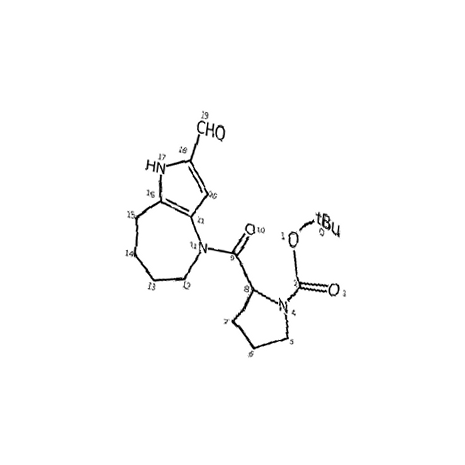 CC(C)(C)OC(=O)N1CCCC1C(=O)N1CCCCc2[nH]c(C=O)cc21